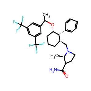 CC(O[C@H]1CCC[C@H](CN2CCC(C(N)=O)[C@H]2C)[C@H]1c1ccccc1)c1cc(C(F)(F)F)cc(C(F)(F)F)c1